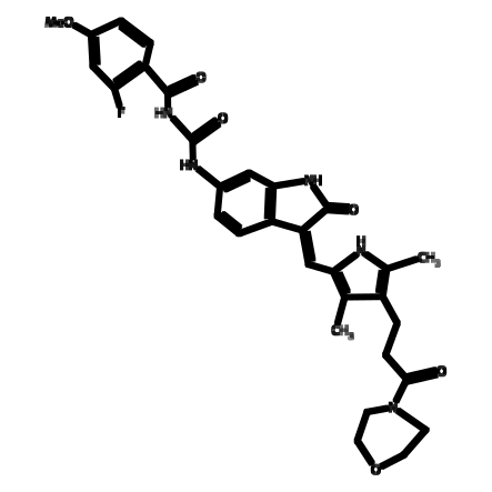 COc1ccc(C(=O)NC(=O)Nc2ccc3c(c2)NC(=O)/C3=C\c2[nH]c(C)c(CCC(=O)N3CCOCC3)c2C)c(F)c1